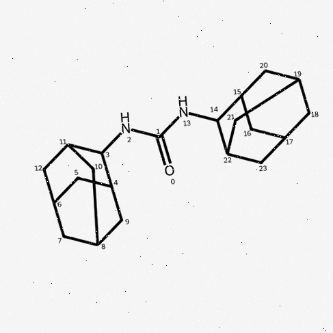 O=C(NC1C2CC3CC(C2)CC1C3)NC1C2CC3CC(C2)CC1C3